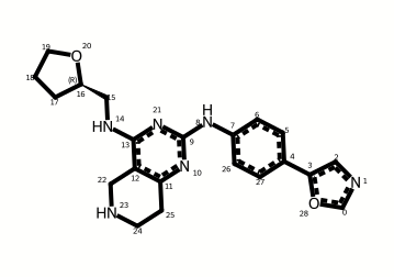 c1ncc(-c2ccc(Nc3nc4c(c(NC[C@H]5CCCO5)n3)CNCC4)cc2)o1